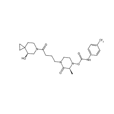 C[C@H]1C(=O)N(CCCC(=O)N2CCC3(CC3)[C@H](O)C2)CCN1OC(=O)Nc1ccc(C(F)(F)F)cc1